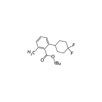 Cc1cccc(C2CCC(F)(F)CC2)c1C(=O)OC(C)(C)C